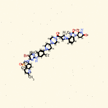 CCc1cc(Nc2ncc(Br)c(Nc3ccc4nc(C)ccc4c3P(C)(C)=O)n2)c(OC)cc1N1CCC(N2CCN(C(=O)C3CN(c4cccc5c4n(C)c(=O)n5C4CCC(=O)NC4=O)C3)CC2)CC1